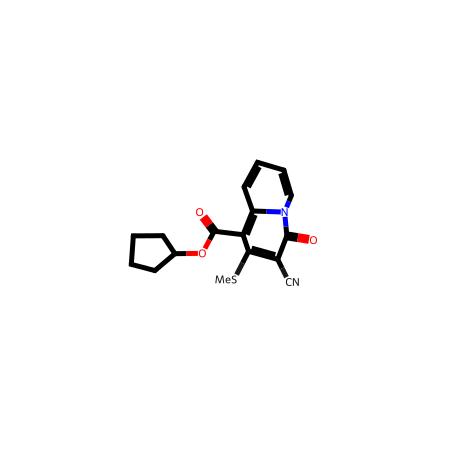 CSc1c(C#N)c(=O)n2ccccc2c1C(=O)OC1CCCC1